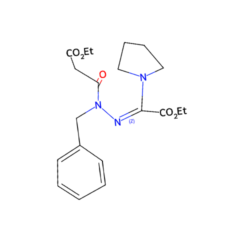 CCOC(=O)CC(=O)N(Cc1ccccc1)/N=C(/C(=O)OCC)N1CCCC1